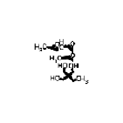 CC1CO1.CC1CO1.CC1CO1.CCC(CO)(CO)CO